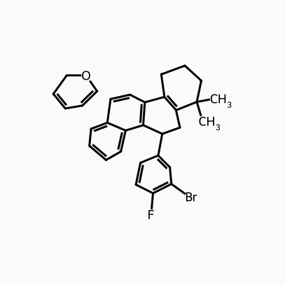 C1=CCOC=C1.CC1(C)CCCC2=C1CC(c1ccc(F)c(Br)c1)c1c2ccc2ccccc12